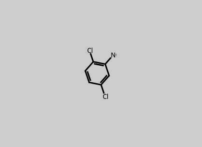 [N]c1cc(Cl)ccc1Cl